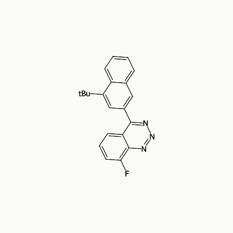 CC(C)(C)c1cc(-c2nnnc3c(F)cccc23)cc2ccccc12